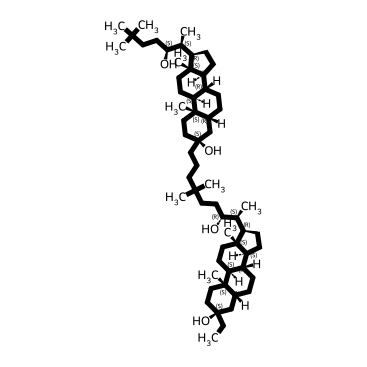 CC[C@]1(O)CC[C@@]2(C)[C@H](CC[C@@H]3[C@@H]2CC[C@]2(C)[C@@H]([C@H](C)[C@H](O)CCC(C)(C)CCC[C@]4(O)CC[C@@]5(C)[C@H](CC[C@@H]6[C@@H]5CC[C@]5(C)[C@@H]([C@H](C)[C@@H](O)CCC(C)(C)C)CC[C@@H]65)C4)CC[C@@H]32)C1